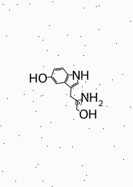 N[C@H](CO)Cc1c[nH]c2ccc(O)cc12